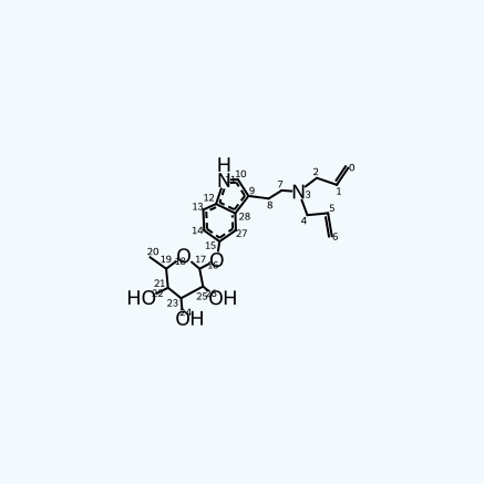 C=CCN(CC=C)CCc1c[nH]c2ccc(OC3OC(C)C(O)C(O)C3O)cc12